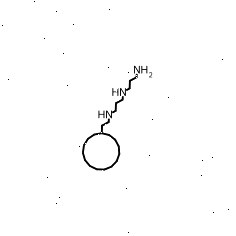 NCCCNCCCNCCC1CCCCCCCCCCCCCC1